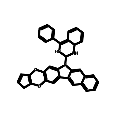 C1=CC2=C(c3ccccc3)NC(n3c4cc5c(cc4c4cc6ccccc6cc43)OC3=C(C=CC3)O5)NC2C=C1